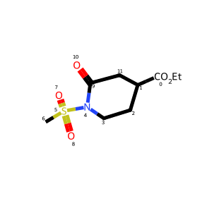 CCOC(=O)C1CCN(S(C)(=O)=O)C(=O)C1